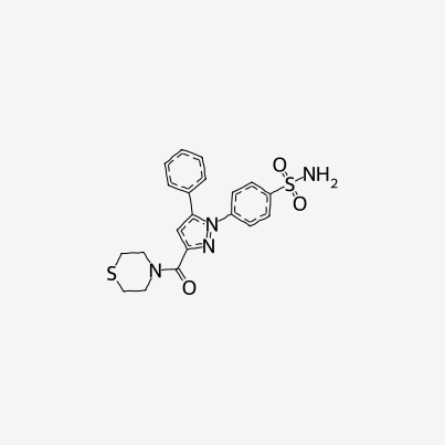 NS(=O)(=O)c1ccc(-n2nc(C(=O)N3CCSCC3)cc2-c2ccccc2)cc1